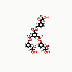 CC(C)(O)C(=O)c1cccc(COC(=O)c2cc(C(=O)OCc3cccc(C(=O)C(C)(C)O)c3)cc(C(=O)OCc3cccc(C(=O)C(C)(C)O)c3)c2)c1